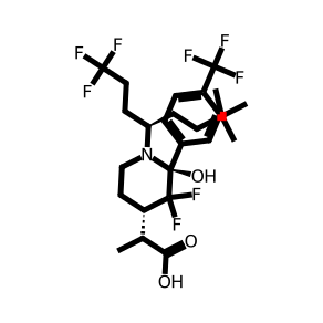 CC(C(=O)O)[C@@H]1CCN([C@H](CCC(C)(C)C)CCC(F)(F)F)[C@](O)(c2ccc(C(F)(F)F)cc2)C1(F)F